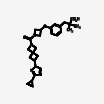 CC(C)(Cc1cccc(OC2CN(C(=O)N3CC4(CC(n5cnc(C6CC6)n5)C4)C3)C2)c1)C(=O)O